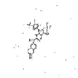 CC(C)(C)c1nc(-n2c3nc(Nc4ccc5c(c4)CCNC5)ncc3c(=O)n2CC(F)(F)F)sc1F